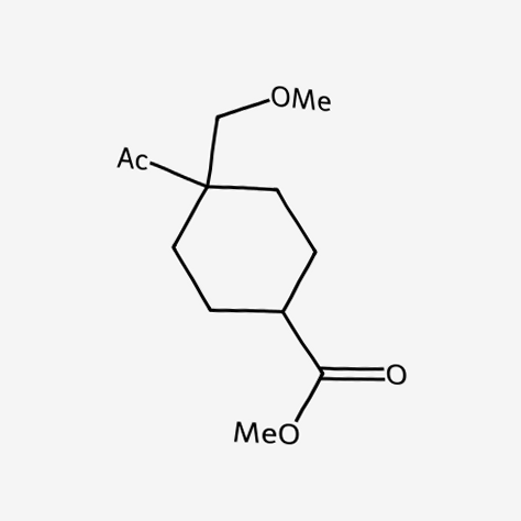 COCC1(C(C)=O)CCC(C(=O)OC)CC1